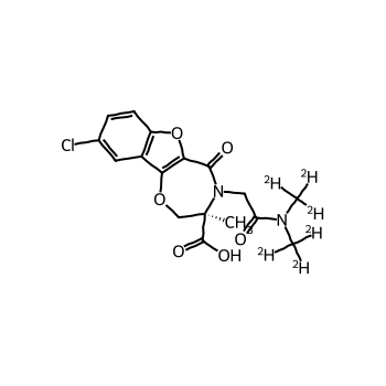 [2H]C([2H])([2H])N(C(=O)CN1C(=O)c2oc3ccc(Cl)cc3c2OC[C@]1(C)C(=O)O)C([2H])([2H])[2H]